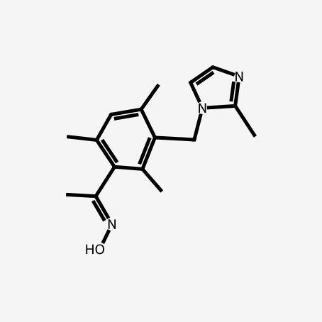 CC(=NO)c1c(C)cc(C)c(Cn2ccnc2C)c1C